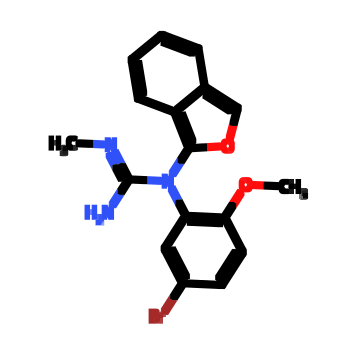 CN=C(N)N(c1cc(Br)ccc1OC)c1occ2ccccc12